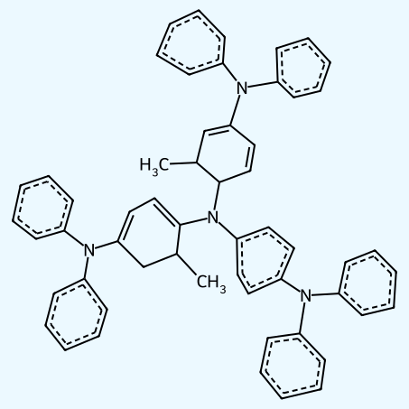 CC1CC(N(c2ccccc2)c2ccccc2)=CC=C1N(c1ccc(N(c2ccccc2)c2ccccc2)cc1)C1C=CC(N(c2ccccc2)c2ccccc2)=CC1C